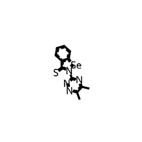 Cc1nnc(-n2[se]c3ccccc3c2=S)nc1C